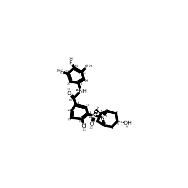 C[C@@H]1CC2C[C@@H](O)CC1N2S(=O)(=O)c1cc(C(=O)Nc2cc(F)c(F)c(F)c2)ccc1Cl